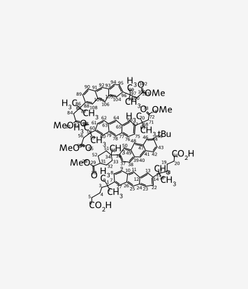 CC(C)(CCCC(=O)O)c1ccc2cc3cc(C(C)(C)CCCC(=O)O)ccc3cc2c1.COC(=O)C1CCC(C)(c2ccc3cc4ccc(C(C)(C)C)cc4cc3c2)CC1.COC(=O)CC(C)(C)c1ccc2cc3cc(C(C)(C)CC(=O)OC)ccc3cc2c1.COC(=O)CC(C)(C)c1ccc2cc3ccc(C(C)(C)CC(=O)OC)cc3cc2c1